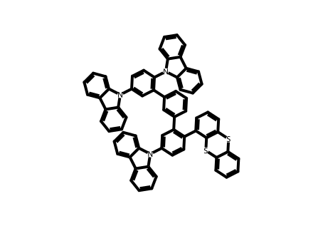 c1cc(-c2cc(-n3c4ccccc4c4ccccc43)ccc2-c2cccc3c2Sc2ccccc2S3)cc(-c2cc(-n3c4ccccc4c4ccccc43)ccc2-n2c3ccccc3c3ccccc32)c1